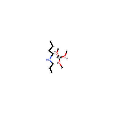 CCCCNCCC.CO[SiH](OC)OC